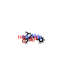 CC(C)C[C@H](NC(=O)OCc1ccccn1)C(=O)N[C@H]1CCOC1O